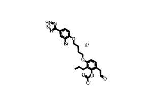 CCCc1c(OCCCCOc2ccc(-c3nn[nH]n3)cc2Br)ccc(CC=O)c1OC(=O)[O-].[K+]